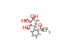 O=C(c1ccccc1C1CCC(O)C(O)C1O)C(F)(F)F